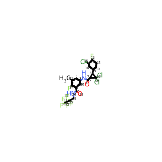 Cc1cc(NC(=O)C2C(c3ccc(F)c(Cl)c3)C2(Cl)Cl)cc(C(=O)NCC(F)(F)C(F)(F)F)c1F